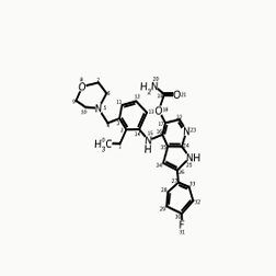 CCc1c(CN2CCOCC2)cccc1Nc1c(OC(N)=O)cnc2[nH]c(-c3ccc(F)cc3)cc12